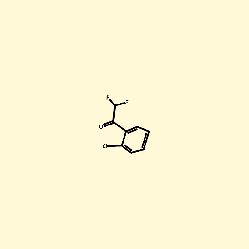 O=C(c1ccccc1Cl)C(F)F